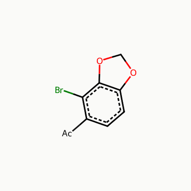 CC(=O)c1ccc2c(c1Br)OCO2